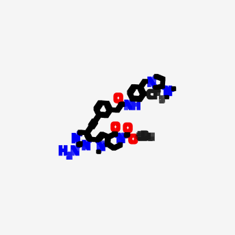 CN(C)[C@@H]1CCN(Cc2ccc(NC(=O)Cc3cccc(C#Cc4cnc(N)nc4-c4cc5c(n4C)CCN(C(=O)OC(C)(C)C)C5=O)c3)cc2C(F)(F)F)C1